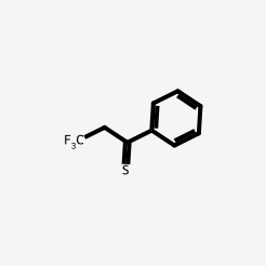 FC(F)(F)CC(=S)c1ccccc1